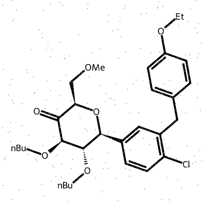 CCCCO[C@@H]1[C@@H](OCCCC)C(=O)[C@@H](COC)O[C@H]1c1ccc(Cl)c(Cc2ccc(OCC)cc2)c1